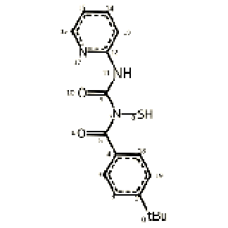 CC(C)(C)c1ccc(C(=O)N(S)C(=O)Nc2ccccn2)cc1